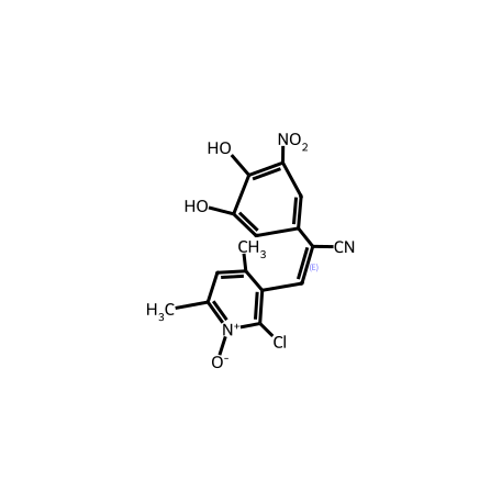 Cc1cc(C)[n+]([O-])c(Cl)c1/C=C(/C#N)c1cc(O)c(O)c([N+](=O)[O-])c1